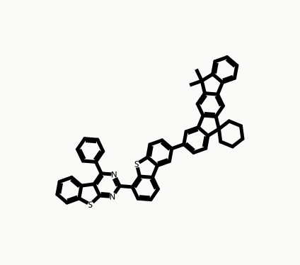 CC1(C)c2ccccc2-c2cc3c(cc21)-c1cc(-c2ccc4sc5c(-c6nc(-c7ccccc7)c7c(n6)sc6ccccc67)cccc5c4c2)ccc1C31CCCCC1